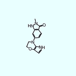 Cn1[nH]c2cc(N3CCOc4cc[nH]c43)ccc2c1=O